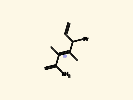 C=CC(/C(C)=C(\C)C(=C)N)C(C)C